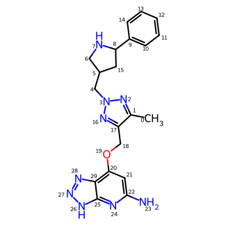 Cc1nn(CC2CNC(c3ccccc3)C2)nc1COc1cc(N)nc2[nH]nnc12